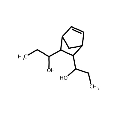 CCC(O)C1C2C=CC(C2)C1C(O)CC